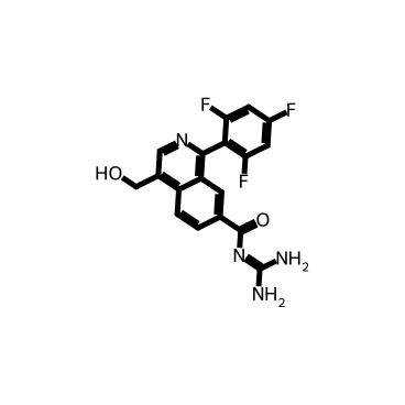 NC(N)=NC(=O)c1ccc2c(CO)cnc(-c3c(F)cc(F)cc3F)c2c1